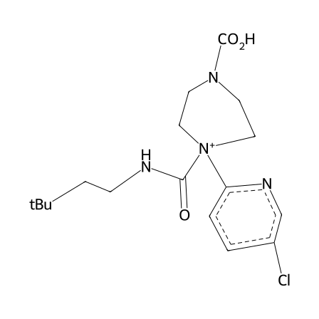 CC(C)(C)CCNC(=O)[N+]1(c2ccc(Cl)cn2)CCN(C(=O)O)CC1